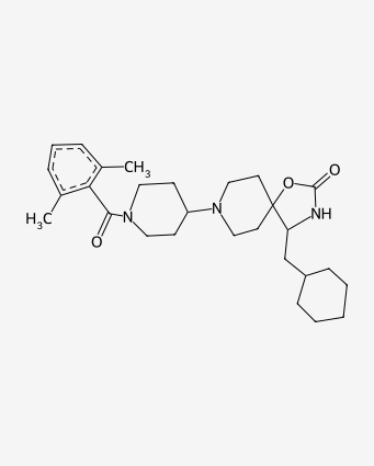 Cc1cccc(C)c1C(=O)N1CCC(N2CCC3(CC2)OC(=O)NC3CC2CCCCC2)CC1